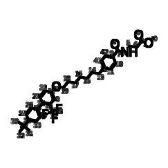 COC(=O)CCNC(=O)c1ccc(CCCCCCCOc2ccc(-c3ccc(C(C)(C)C)cc3)c(C(F)(F)F)c2)cc1